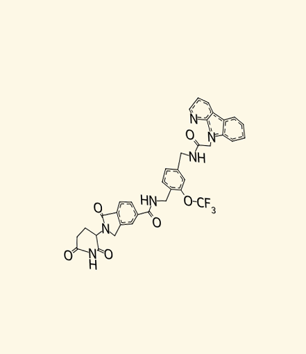 O=C(Cn1c2ccccc2c2cccnc21)NCc1ccc(CNC(=O)c2ccc3c(c2)CN(C2CCC(=O)NC2=O)C3=O)c(OC(F)(F)F)c1